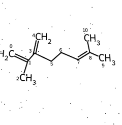 C=C(C)C(=C)CCC=C(C)C